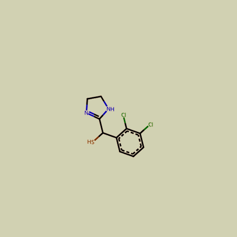 SC(C1=NCCN1)c1cccc(Cl)c1Cl